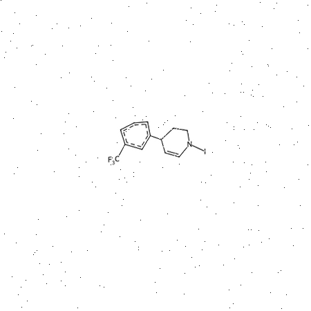 FC(F)(F)c1cccc(C2C=CN(I)CC2)c1